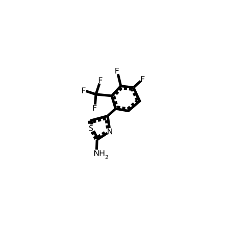 Nc1nc(-c2ccc(F)c(F)c2C(F)(F)F)cs1